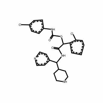 O=C(Nc1ccc(Cl)cc1)OC(C(=O)NC(c1ccncc1)C1CCNCC1)c1ccccc1Cl